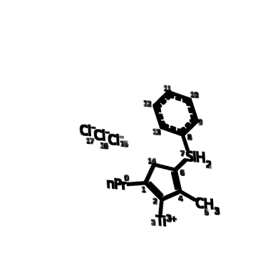 CCCC1=[C]([Ti+3])C(C)=C([SiH2]c2ccccc2)C1.[Cl-].[Cl-].[Cl-]